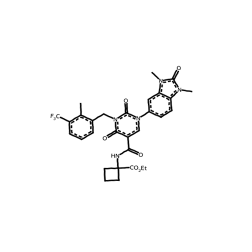 CCOC(=O)C1(NC(=O)c2cn(-c3ccc4c(c3)n(C)c(=O)n4C)c(=O)n(Cc3cccc(C(F)(F)F)c3C)c2=O)CCC1